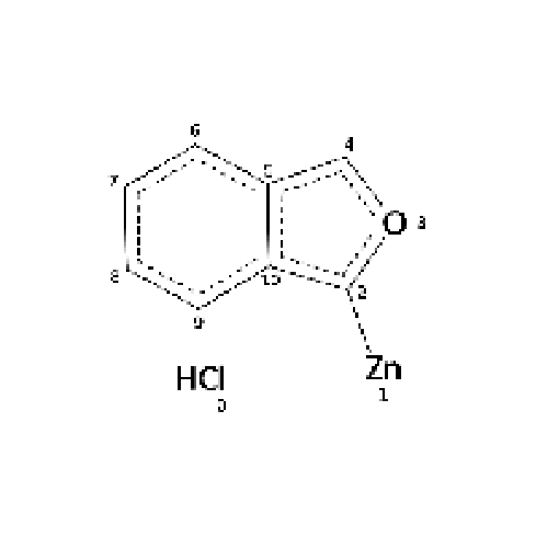 Cl.[Zn][c]1occ2ccccc12